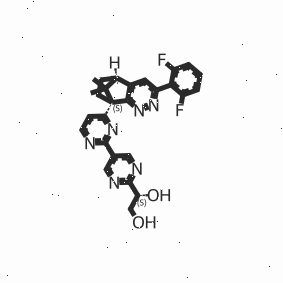 CC1(C)[C@H]2CC[C@]1(c1ccnc(-c3cnc([C@H](O)CO)nc3)n1)c1nnc(-c3c(F)cccc3F)cc12